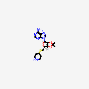 CC1(C)OC2[C@@H](O1)[C@@H](CSC1CCNCC1)O[C@H]2n1cnc2c(N)ncnc21